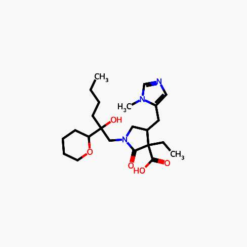 CCCCC(O)(CN1CC(Cc2cncn2C)C(CC)(C(=O)O)C1=O)C1CCCCO1